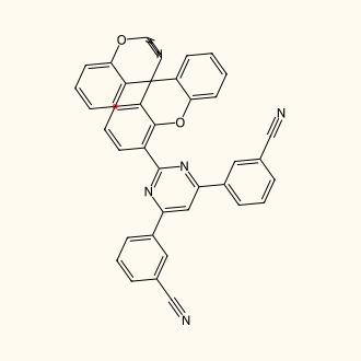 N#Cc1cccc(-c2cc(-c3cccc(C#N)c3)nc(-c3cccc4c3Oc3ccccc3C43c4ccccc4Oc4ccccc43)n2)c1